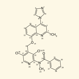 Cc1cc(-n2ccnc2)c2cccc(OCc3c(Cl)cnc(N(C)C(=O)c4ccccc4)c3Cl)c2n1